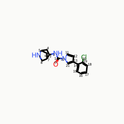 O=C(NC1CC2CC1CN2)n1ccc(-c2ccccc2Cl)c1